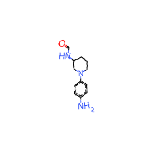 Nc1ccc(N2CCCC(NC=O)C2)cc1